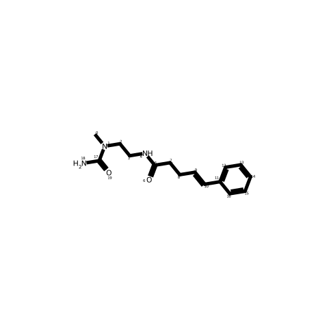 CN(CCNC(=O)[CH]CC=Cc1ccccc1)C(N)=O